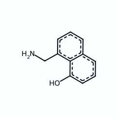 NCc1cccc2cccc(O)c12